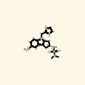 CN(C)S(=O)(=O)N[C@@H]1Cc2c(n(Cc3nccs3)c3ccc(N)cc23)C1